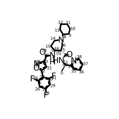 C[C@@H](NC(=O)[C@H]1CN(C2CCCCC2)CC[C@@H]1NC(=O)c1cc(-c2c(F)cc(F)cc2F)on1)c1ccccn1